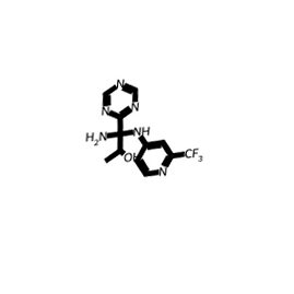 CC(O)C(N)(Nc1ccnc(C(F)(F)F)c1)c1ncncn1